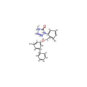 Cc1cc(OCc2c(C)cccc2-n2nnn(C)c2=O)cc(-c2ccccc2)c1